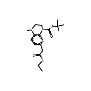 CCOC(=O)Cc1ccc2c(n1)N(C(=O)OC(C)(C)C)CCN2C